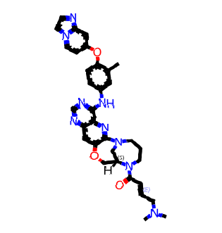 Cc1cc(Nc2ncnc3cc4c(nc23)N2CCCN(C(=O)/C=C/CN(C)C)[C@H](CO4)C2)ccc1Oc1ccn2ccnc2c1